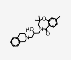 Cc1ccc2c(c1)OC(C)(C)CN(CC(O)CN1CCc3ccccc3C1)C2=O